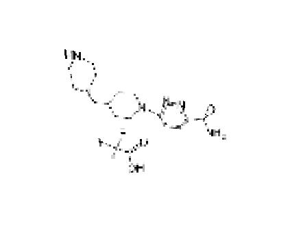 NC(=O)c1ccc(N2CCC(CN3CCNCC3)CC2)nn1.O=C(O)C(F)(F)F